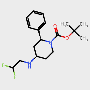 CC(C)(C)OC(=O)N1CC[C@@H](NCC(F)F)C[C@H]1c1ccccc1